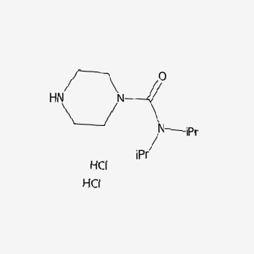 CC(C)N(C(=O)N1CCNCC1)C(C)C.Cl.Cl